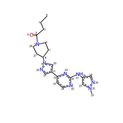 CCCC(=O)N1CCC(n2cc(-c3ccnc(Nc4cnn(C)c4)n3)cn2)CC1